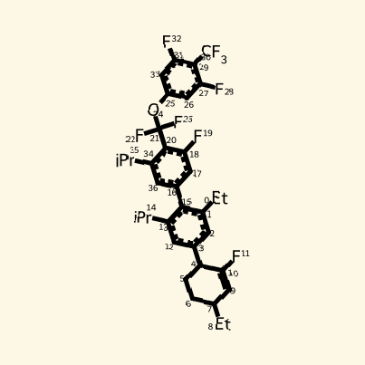 CCc1cc(C2CCC(CC)C=C2F)cc(C(C)C)c1-c1cc(F)c(C(F)(F)Oc2cc(F)c(C(F)(F)F)c(F)c2)c(C(C)C)c1